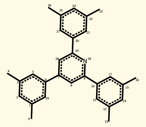 Cc1cc(C)cc(-c2cc(-c3cc(C)cc(C)c3)nc(-c3cc(C)cc(C)c3)c2)c1